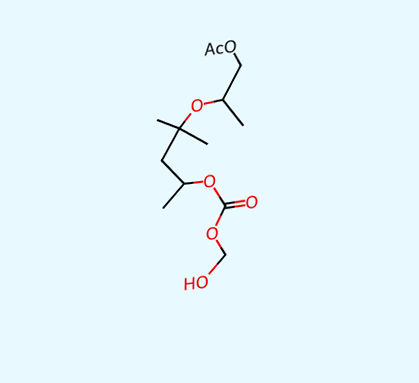 CC(=O)OCC(C)OC(C)(C)CC(C)OC(=O)OCO